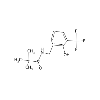 CC(C)(C)[S+]([O-])NCc1cccc(C(F)(F)F)c1O